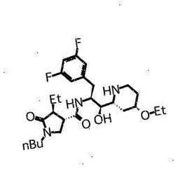 CCCCN1C[C@@H](C(=O)N[C@@H](Cc2cc(F)cc(F)c2)[C@H](O)[C@H]2C[C@@H](OCC)CCN2)[C@H](CC)C1=O